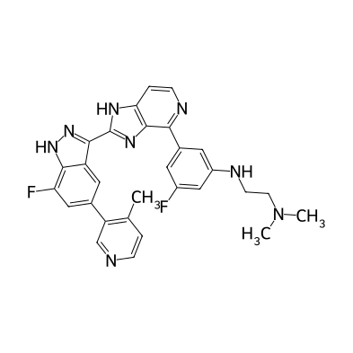 Cc1ccncc1-c1cc(F)c2[nH]nc(-c3nc4c(-c5cc(F)cc(NCCN(C)C)c5)nccc4[nH]3)c2c1